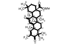 COC(=O)[C@]12CCC(C)(C)CC1[C@@H]1C(=O)C=C3[C@@]4(C)C=C(C(F)(F)F)C(=O)C(C)(C)C4CC[C@@]3(C)[C@]1(C)CC2